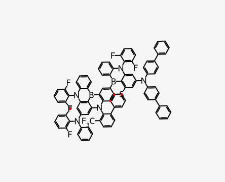 Fc1cccc(F)c1N(c1ccccc1)c1cc2c3c(c1)N(c1c(-c4ccccc4)cccc1C(F)(F)F)c1cc4c(cc1B3c1ccccc1N2c1c(F)cccc1F)B1c2ccccc2N(c2c(F)cccc2F)c2cc(N(c3ccc(-c5ccccc5)cc3)c3ccc(-c5ccccc5)cc3)cc(c21)S4